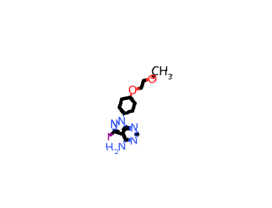 COCCO[C@H]1CC[C@H](n2nc(I)c3c(N)ncnc32)CC1